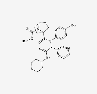 CC(C)(C)OC(=O)N1C2CCC1(C(=O)N(c1ccc(C(C)(C)C)cc1)C(C(=O)NC1CCCCC1)c1cccnc1)CC2